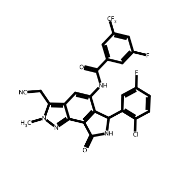 Cn1nc2c3c(c(NC(=O)c4cc(F)cc(C(F)(F)F)c4)cc2c1CC#N)C(c1cc(F)ccc1Cl)NC3=O